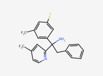 NC(Cc1ccccc1)(c1cc(F)cc(C(F)(F)F)c1)c1cc(C(F)(F)F)ccn1